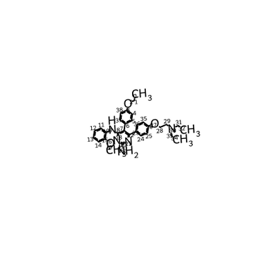 CCOc1ccc(-c2c(Nc3ccccc3OC)nc(N)nc2-c2ccc(OCCN(CC)CC)cc2)cc1